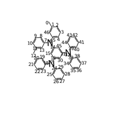 Cc1cccc(N(c2cccc(C)c2)c2cc(N(c3ccccc3)c3ccccc3)cc(N(c3ccccc3)c3ccccc3)c2)c1